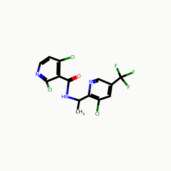 CC(NC(=O)c1c(Cl)ccnc1Cl)c1ncc(C(F)(F)F)cc1Cl